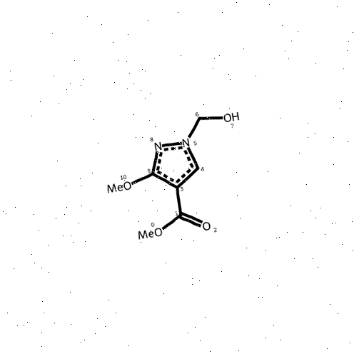 COC(=O)c1cn(CO)nc1OC